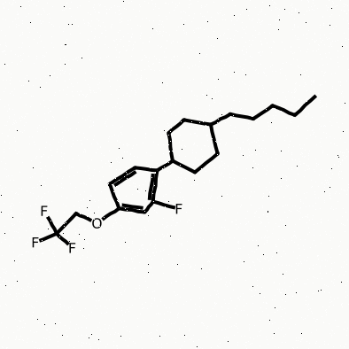 CCCCCC1CCC(c2ccc(OCC(F)(F)F)cc2F)CC1